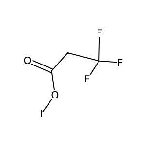 O=C(CC(F)(F)F)OI